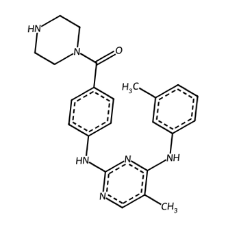 Cc1cccc(Nc2nc(Nc3ccc(C(=O)N4CCNCC4)cc3)ncc2C)c1